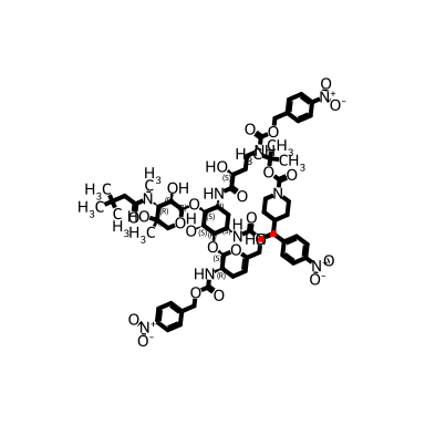 CN(C(=O)CC(C)(C)C)[C@@H]1[C@@H](O)[C@@H](O[C@@H]2[C@@H](O)[C@H](O[C@H]3OC(CNCC4CCN(C(=O)OC(C)(C)C)CC4)=CC[C@H]3NC(=O)OCc3ccc([N+](=O)[O-])cc3)[C@@H](NC(=O)OCc3ccc([N+](=O)[O-])cc3)C[C@H]2NC(=O)[C@@H](O)CCNC(=O)OCc2ccc([N+](=O)[O-])cc2)OC[C@]1(C)O